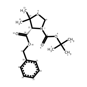 CC(C)(C)OC(=O)N1CSC(C)(C)[C@H]1C(=O)OCc1ccccc1